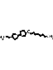 CCCCCCCCO[C@H]1CC[C@H]([C@H]2CC[C@H](CCC)CC2)CC1